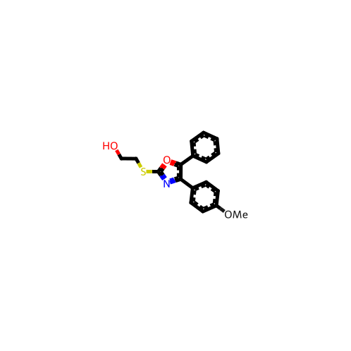 COc1ccc(-c2nc(SCCO)oc2-c2ccccc2)cc1